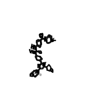 C[C@@H]1COCCN1c1cc(C2CCOCC2)nc(-c2ccc(NC(=O)Nc3ccc(C(=O)N4CCN(C)CC4)cc3)cc2)n1